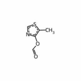 Cc1scnc1OC=O